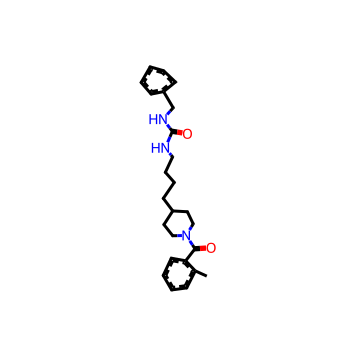 Cc1ccccc1C(=O)N1CCC(CCCCNC(=O)NCc2ccccc2)CC1